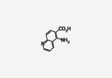 Nc1c(C(=O)O)ccc2ncccc12